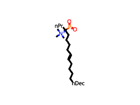 CCCCCCCCCCCCCCC=CCCCCC(CCC)(P(=O)=O)[N+](C)(C)C